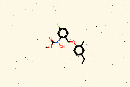 CCc1ccc(OCc2ccc(F)cc2N(O)C(=O)OC)c(C)c1